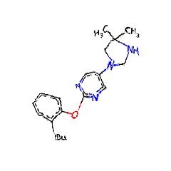 CC1(C)CN(c2cnc(Oc3ccccc3C(C)(C)C)nc2)CN1